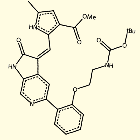 COC(=O)c1cc(C)[nH]c1/C=C1\C(=O)Nc2cnc(-c3ccccc3OCCNC(=O)OC(C)(C)C)cc21